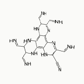 N#CC1Nc2c(c3c(c4c2NC(C=N)C(C=N)N4)NC(C=N)C(C=N)=N3)N=C1C=N